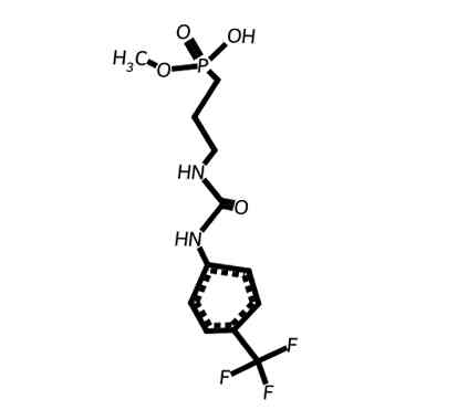 COP(=O)(O)CCCNC(=O)Nc1ccc(C(F)(F)F)cc1